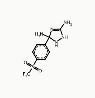 NC1=NC(N)(c2ccc(S(=O)(=O)C(F)(F)F)cc2)NN1